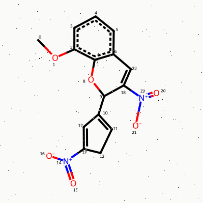 COc1cccc2c1OC(C1=CCC([N+](=O)[O-])=C1)C([N+](=O)[O-])=C2